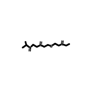 CCNCCOCCNCCNC(C)C